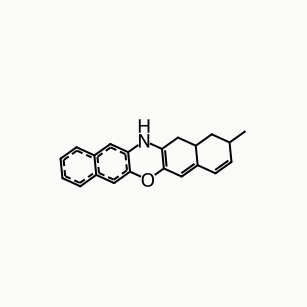 CC1C=CC2=CC3=C(CC2C1)Nc1cc2ccccc2cc1O3